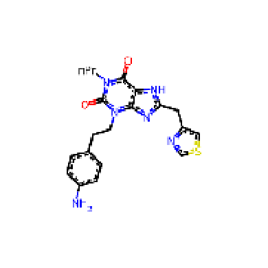 CCCn1c(=O)c2[nH]c(Cc3cscn3)nc2n(CCc2ccc(N)cc2)c1=O